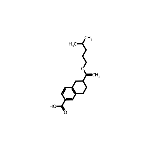 C=C(OCCCC(C)C)C1CCc2cc(C(=O)O)ccc2C1